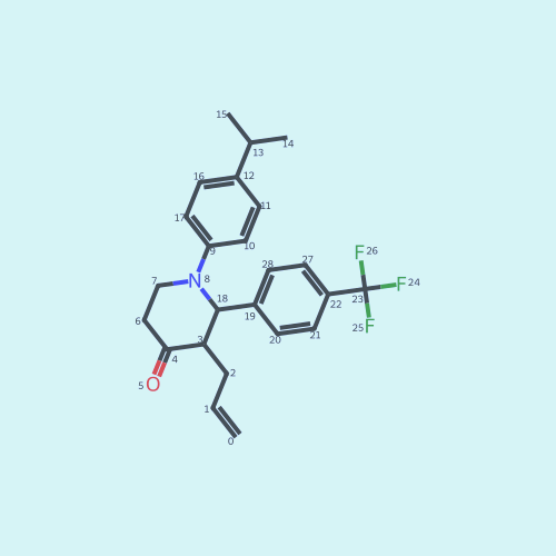 C=CCC1C(=O)CCN(c2ccc(C(C)C)cc2)C1c1ccc(C(F)(F)F)cc1